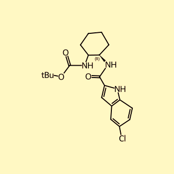 CC(C)(C)OC(=O)NC1CCCC[C@H]1NC(=O)c1cc2cc(Cl)ccc2[nH]1